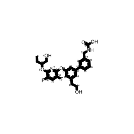 CCC(CO)Oc1nc(Oc2cc(CCO)cc(-c3cccc(CNC(=O)O)c3)c2)c(F)cc1F